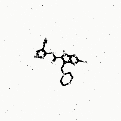 Cc1nc2[nH]c(C(=O)Nc3n[nH]cc3C#N)c(CN3CCOCC3)c2s1